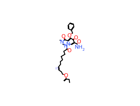 C=C(CC)OCC/C=C\CCCCCCC(=O)N1CN(C)C(=O)c2c(OCc3ccccc3)c(=O)c(C(N)=O)cn21